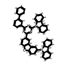 c1ccc(-c2cccc(-c3nc(-c4ccc5oc6ccc(-n7c8ccccc8c8ccccc87)cc6c5c4)nc(-n4c5ccccc5c5ccccc54)n3)c2)cc1